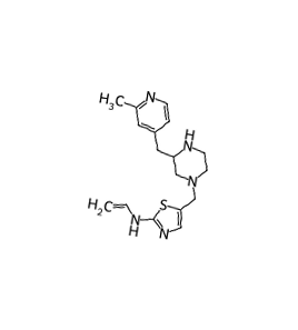 C=CNc1ncc(CN2CCNC(Cc3ccnc(C)c3)C2)s1